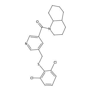 O=C(c1cncc(CSc2c(Cl)cccc2Cl)c1)N1CCCC2CCCCC21